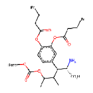 CCCC(C)OC(=O)OC(C)C(C)C(c1ccc(OC(=O)CCC(C)C)c(OC(=O)CCC(C)C)c1)[C@H](N)C(=O)O